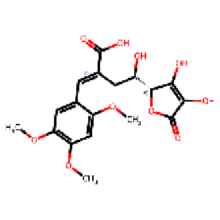 COc1cc(OC)c(OC)cc1/C=C(\CC(O)[C@H]1OC(=O)C(O)=C1O)C(=O)O